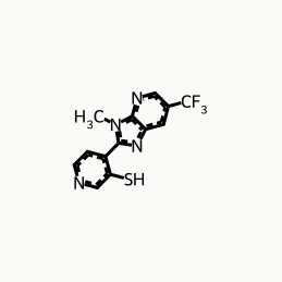 Cn1c(-c2ccncc2S)nc2cc(C(F)(F)F)cnc21